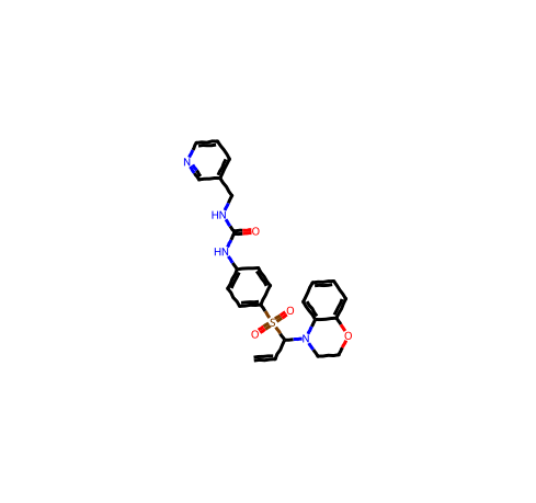 C=CC(N1CCOc2ccccc21)S(=O)(=O)c1ccc(NC(=O)NCc2cccnc2)cc1